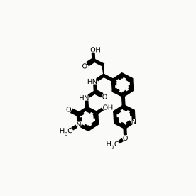 COc1ccc(-c2cccc([C@H](CC(=O)O)NC(=O)Nc3c(O)ccn(C)c3=O)c2)cn1